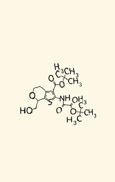 CC(C)(C)OC(=O)C(=O)Nc1sc2c(c1C(=O)OC(C)(C)C)CCOC2CO